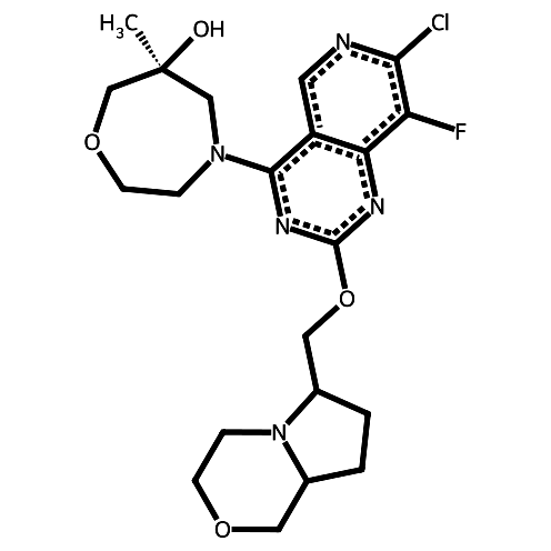 C[C@@]1(O)COCCN(c2nc(OCC3CCC4COCCN43)nc3c(F)c(Cl)ncc23)C1